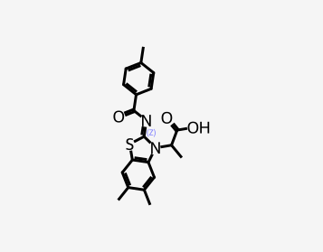 Cc1ccc(C(=O)/N=c2\sc3cc(C)c(C)cc3n2C(C)C(=O)O)cc1